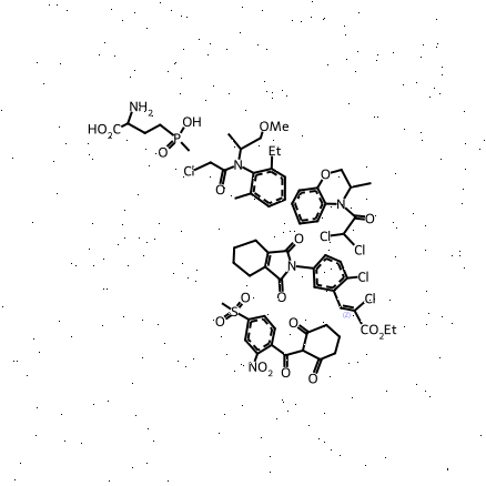 CC1COc2ccccc2N1C(=O)C(Cl)Cl.CCOC(=O)/C(Cl)=C/c1cc(N2C(=O)C3=C(CCCC3)C2=O)ccc1Cl.CCc1cccc(C)c1N(C(=O)CCl)C(C)COC.CP(=O)(O)CCC(N)C(=O)O.CS(=O)(=O)c1ccc(C(=O)C2C(=O)CCCC2=O)c([N+](=O)[O-])c1